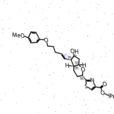 COc1ccc(OCCC/C=C/[C@@H]2[C@H]3CC[C@H](c4nc(C(=O)OC(C)C)cs4)O[C@H]3C[C@H]2O)cc1